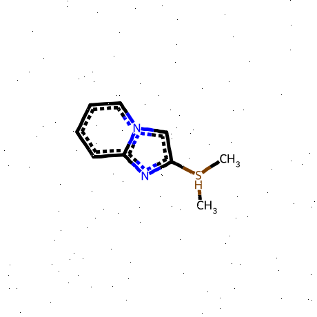 C[SH](C)c1cn2ccccc2n1